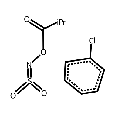 CC(C)C(=O)ON=S(=O)=O.Clc1ccccc1